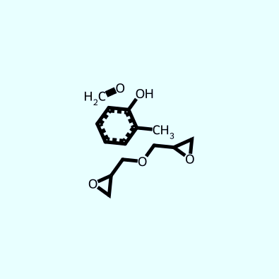 C(OCC1CO1)C1CO1.C=O.Cc1ccccc1O